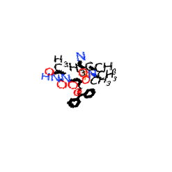 Cc1cn([C@H]2C[C@H](OP(OCCC#N)N(C(C)C)C(C)C)[C@@H](COC(c3ccccc3)c3ccccc3)O2)c(=O)[nH]c1=O